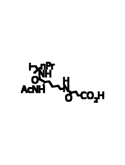 CCCC(C)(CI)NC(=O)[C@H](CCCCNC(=O)CCC(=O)O)NC(C)=O